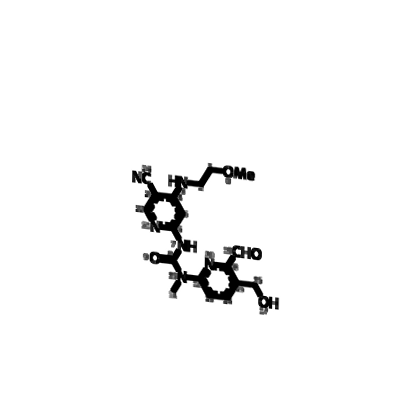 COCCNc1cc(NC(=O)N(C)c2ccc(CO)c(C=O)n2)ncc1C#N